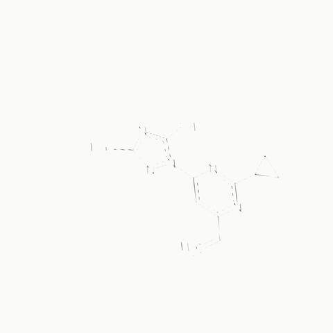 C=Cc1cc(-n2nc(C)nc2C)nc(C2CC2)n1